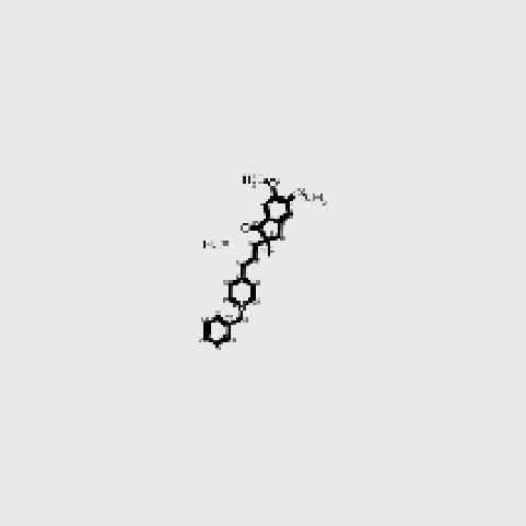 COc1cc2c(cc1OC)C(=O)C(F)(CCCC1CCN(Cc3ccccc3)CC1)C2.Cl